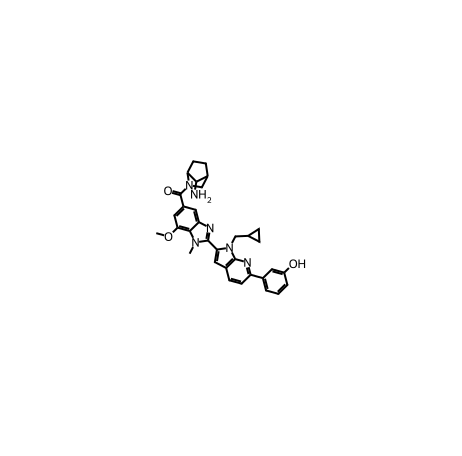 COc1cc(C(=O)N2CC3CCC2C3N)cc2nc(-c3cc4ccc(-c5cccc(O)c5)nc4n3CC3CC3)n(C)c12